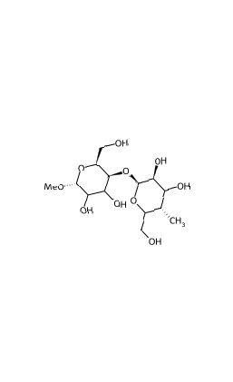 CO[C@@H]1O[C@@H](CO)[C@@H](O[C@@H]2OC(CO)[C@@H](C)C(O)[C@@H]2O)C(O)C1O